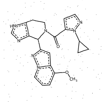 COc1cccn2nc(C3c4nc[nH]c4CCN3C(=O)c3ccnn3C3CC3)cc12